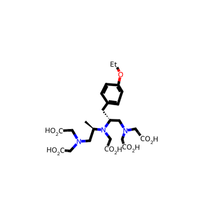 CCOc1ccc(C[C@H](CN(CC(=O)O)CC(=O)O)N(CC(=O)O)[C@H](C)CN(CC(=O)O)CC(=O)O)cc1